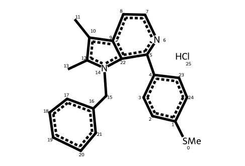 CSc1ccc(-c2nccc3c(C)c(C)n(Cc4ccccc4)c23)cc1.Cl